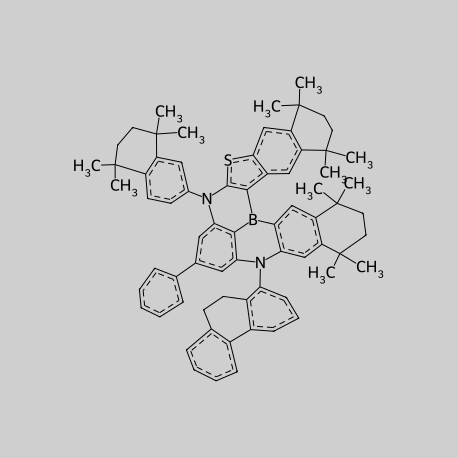 CC1(C)CCC(C)(C)c2cc(N3c4cc(-c5ccccc5)cc5c4B(c4cc6c(cc4N5c4cccc5c4CCc4ccccc4-5)C(C)(C)CCC6(C)C)c4c3sc3cc5c(cc43)C(C)(C)CCC5(C)C)ccc21